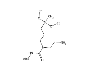 CCCCNC(=O)N(CCN)CCC[Si](C)(OCC)OCC